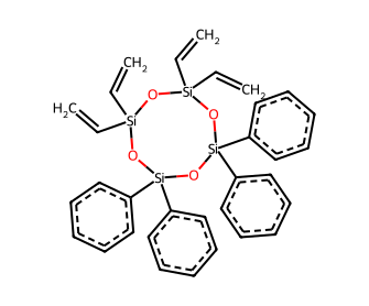 C=C[Si]1(C=C)O[Si](C=C)(C=C)O[Si](c2ccccc2)(c2ccccc2)O[Si](c2ccccc2)(c2ccccc2)O1